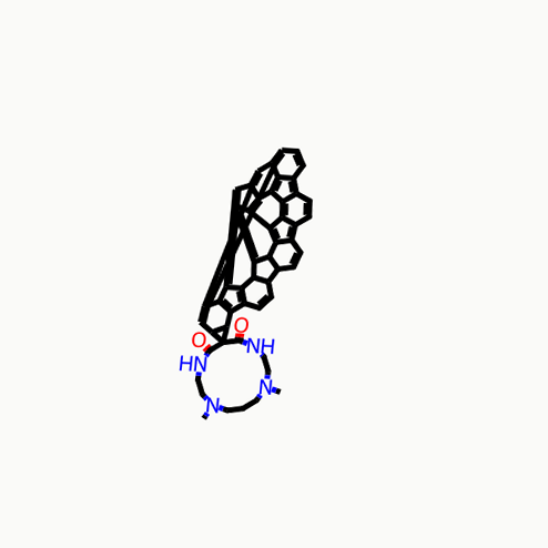 CN1CCCN(C)CCNC(=O)C2(C(=O)NCC1)C1c3c4c5c6c3c3c(c7ccc8c9ccc%10c%11c%12c%13c%14c(c6c6c3c7c8c(c9c%10%13)c%146)=C3C5C(C=C4)C(C=C%11)C3%12)C12